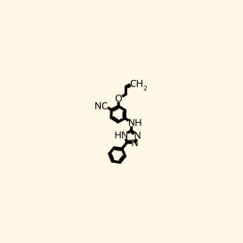 C=CCOc1cc(Nc2nnc(-c3ccccc3)[nH]2)ccc1C#N